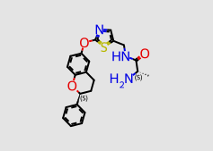 C[C@H](N)C(=O)NCc1cnc(Oc2ccc3c(c2)CC[C@@H](c2ccccc2)O3)s1